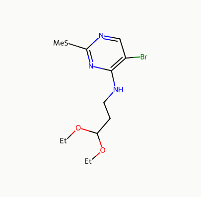 CCOC(CCNc1nc(SC)ncc1Br)OCC